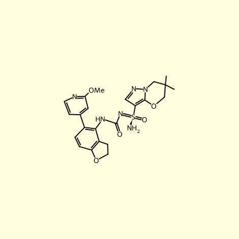 COc1cc(-c2ccc3c(c2NC(=O)N=[S@@](N)(=O)c2cnn4c2OCC(C)(C)C4)CCO3)ccn1